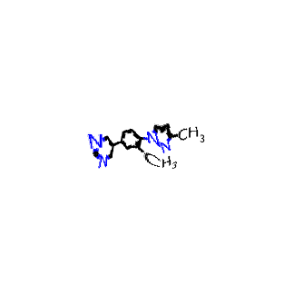 Cc1ccn(-c2ccc(-c3cncnc3)cc2C)n1